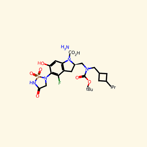 CC(C)C1CC(CN(C[C@H]2Cc3c(cc(O)c(N4CC(=O)NS4(=O)=O)c3F)N2C(=O)O)C(=O)OC(C)(C)C)C1.N